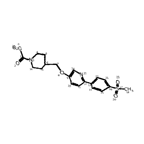 CC(C)COC(=O)N1CCC(COc2ccc(-c3ccc(S(C)(=O)=O)cc3)nc2)CC1